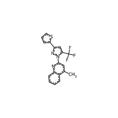 Cc1cc(-n2nc(-c3cccs3)cc2C(F)(F)F)nc2ccccc12